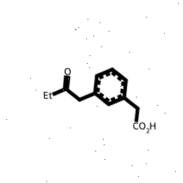 CCC(=O)Cc1cccc(CC(=O)O)c1